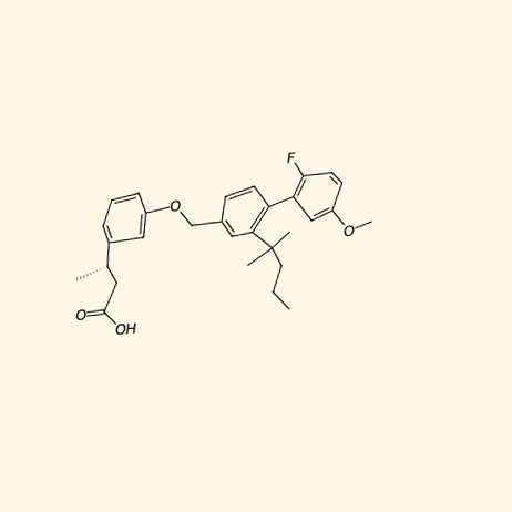 CCCC(C)(C)c1cc(COc2cccc([C@@H](C)CC(=O)O)c2)ccc1-c1cc(OC)ccc1F